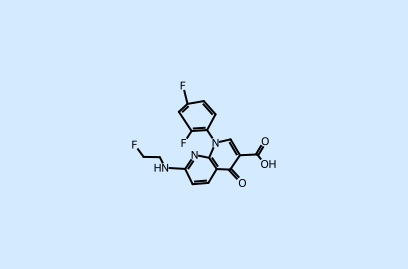 O=C(O)c1cn(-c2ccc(F)cc2F)c2nc(NCCF)ccc2c1=O